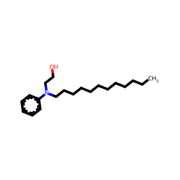 CCCCCCCCCCCCN(CCO)c1ccccc1